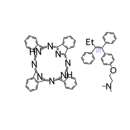 CC/C(=C(\c1ccccc1)c1ccc(OCCN(C)C)cc1)c1ccccc1.c1ccc2c(c1)-c1nc-2nc2[nH]c(nc3nc(nc4[nH]c(n1)c1ccccc41)-c1ccccc1-3)c1ccccc21